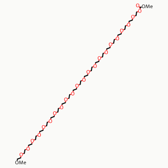 COCCOCCOCCOCCOCCOCCOCCOCCOCCOCCOCCOCCOCCOCCOCCOCCOCCOCCOCCOCCOCCOCCOC(=O)OC